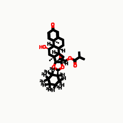 [2H]C1([2H])C([2H])([2H])C([2H])([2H])C([2H])([C@@H]2O[C@@H]3C[C@H]4[C@@H]5CCC6=CC(=O)C=C[C@]6(C)[C@H]5[C@@H](O)C[C@]4(C)[C@]3(C(=O)COC(=O)C(C)C)O2)C([2H])([2H])C1([2H])[2H]